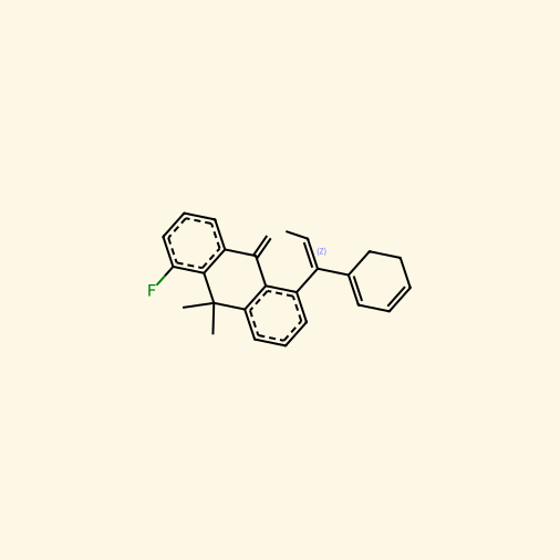 C=C1c2cccc(F)c2C(C)(C)c2cccc(/C(=C\C)C3=CC=CCC3)c21